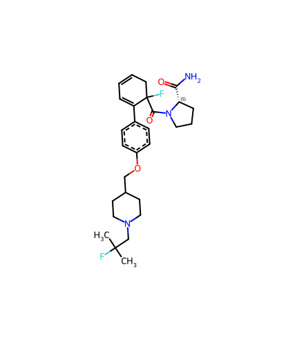 CC(C)(F)CN1CCC(COc2ccc(C3=CC=CCC3(F)C(=O)N3CCC[C@H]3C(N)=O)cc2)CC1